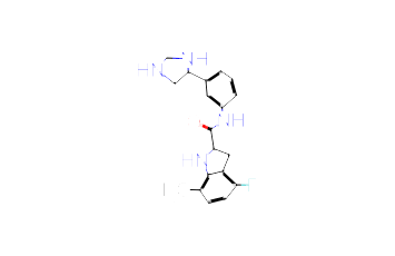 Cc1ccc(F)c2c1NC(C(=O)Nc1cccc(C3CNCN3)c1)C2